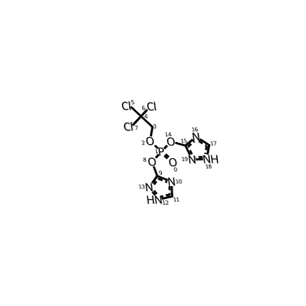 O=P(OCC(Cl)(Cl)Cl)(Oc1nc[nH]n1)Oc1nc[nH]n1